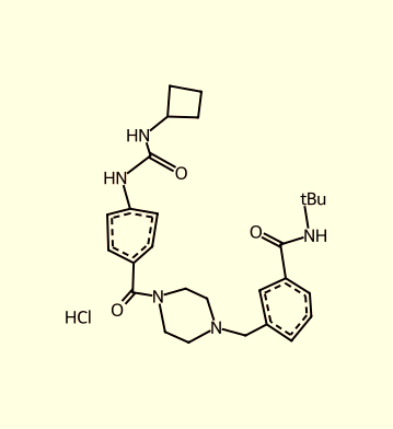 CC(C)(C)NC(=O)c1cccc(CN2CCN(C(=O)c3ccc(NC(=O)NC4CCC4)cc3)CC2)c1.Cl